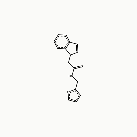 O=C(CC1C=Cc2ccccc21)NCc1ccco1